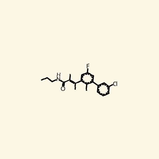 CCCNC(=O)/C(C)=C(\C)c1cc(F)cc(-c2cccc(Cl)c2)c1C